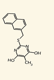 Cc1c(O)nc(SCc2ccc3ccccc3c2)nc1O